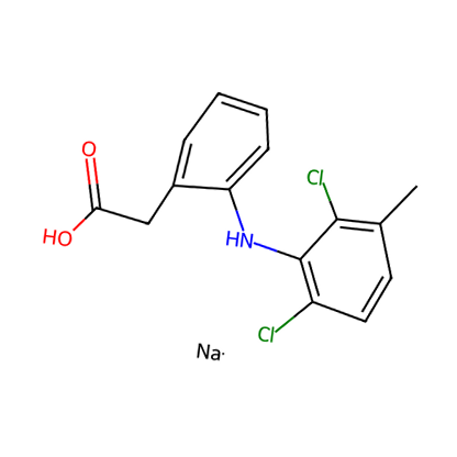 Cc1ccc(Cl)c(Nc2ccccc2CC(=O)O)c1Cl.[Na]